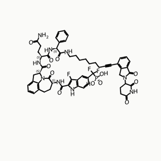 NC(=O)CC[C@H](NC(=O)[C@@H]1Cc2cccc3c2N1C(=O)[C@@H](NC(=O)c1[nH]c2ccc(C(F)(F)P(=O)(O)O)cc2c1F)CC3)C(=O)N[C@H](C(=O)NCCCCCCCC#Cc1cccc2c1CN(C1CCC(=O)NC1=O)C2=O)c1ccccc1